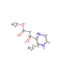 COC(=O)CC(=O)c1nccnc1C